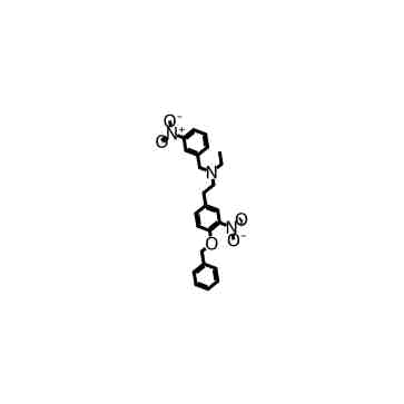 CCN(CCc1ccc(OCc2ccccc2)c([N+](=O)[O-])c1)Cc1cccc([N+](=O)[O-])c1